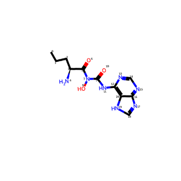 CCC[C@H](N)C(=O)N(O)C(=O)Nc1n[c]nc2nc[nH]c12